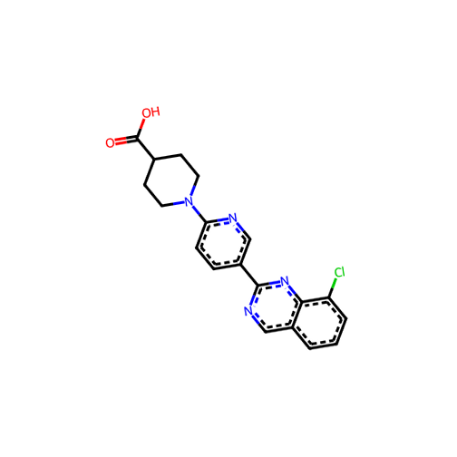 O=C(O)C1CCN(c2ccc(-c3ncc4cccc(Cl)c4n3)cn2)CC1